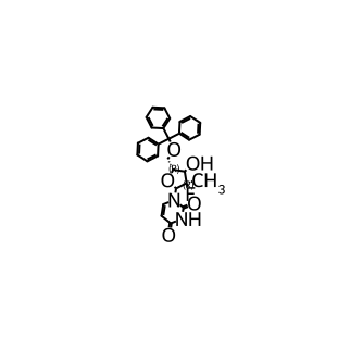 C[C@@]1(F)C(O)[C@@H](COC(c2ccccc2)(c2ccccc2)c2ccccc2)OC1n1ccc(=O)[nH]c1=O